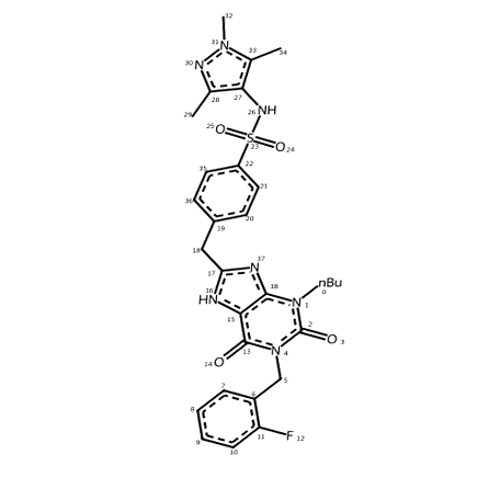 CCCCn1c(=O)n(Cc2ccccc2F)c(=O)c2[nH]c(Cc3ccc(S(=O)(=O)Nc4c(C)nn(C)c4C)cc3)nc21